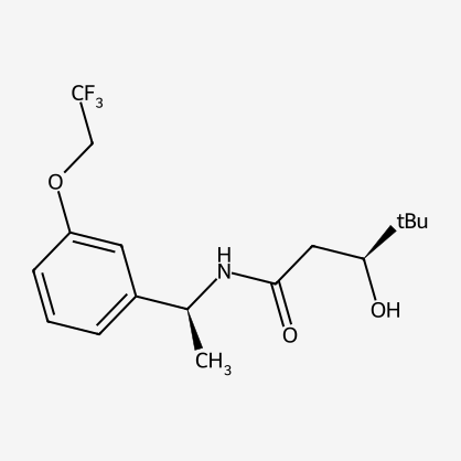 C[C@H](NC(=O)C[C@H](O)C(C)(C)C)c1cccc(OCC(F)(F)F)c1